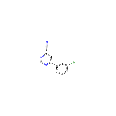 N#Cc1cc(-c2cccc(Br)c2)ncn1